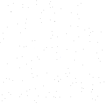 CCOC(=O)C/C=C/C1CC1